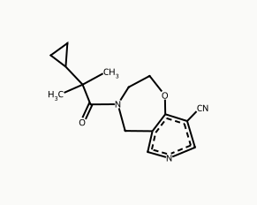 CC(C)(C(=O)N1CCOc2c(C#N)cncc2C1)C1CC1